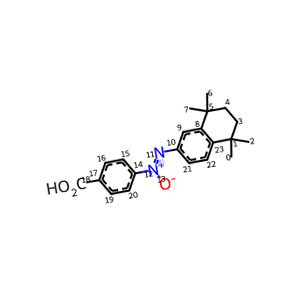 CC1(C)CCC(C)(C)c2cc(/N=[N+](\[O-])c3ccc(C(=O)O)cc3)ccc21